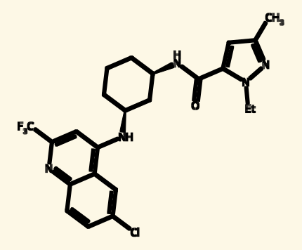 CCn1nc(C)cc1C(=O)N[C@@H]1CCC[C@H](Nc2cc(C(F)(F)F)nc3ccc(Cl)cc23)C1